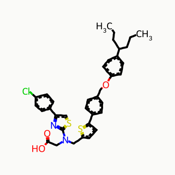 CCCC(CCC)c1ccc(OCc2ccc(-c3ccc(CN(CC(=O)O)c4nc(-c5ccc(Cl)cc5)cs4)s3)cc2)cc1